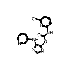 O=C(Nc1cccc(Cl)n1)Oc1ncsc1Nc1cccnc1